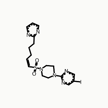 O=S(=O)(/C=C\CCCc1ncccn1)N1CCN(c2ncc(I)cn2)CC1